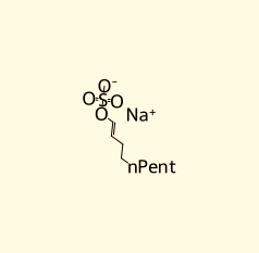 CCCCCCCC=COS(=O)(=O)[O-].[Na+]